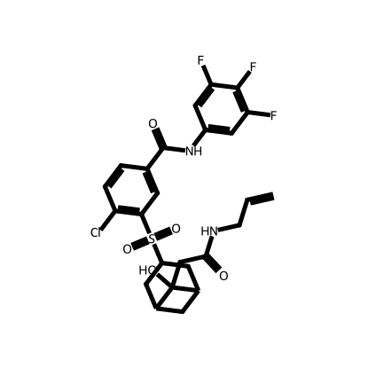 C=CCNC(=O)CC1(O)C2CC1CC(S(=O)(=O)c1cc(C(=O)Nc3cc(F)c(F)c(F)c3)ccc1Cl)C2